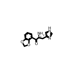 N[C@@H](Cc1c[nH]cn1)C(=O)c1cc[c]c2c1OCO2